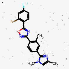 Cc1cc(-c2nc(C(F)(F)F)cn2C)ccc1-c1noc(-c2ccc(F)cc2Br)n1